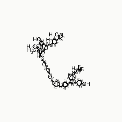 Cc1ncsc1-c1ccc(CNC(=O)[C@@H]2C[C@@H](O)CN2C(=O)[C@@H](NC(=O)COCCOCCOCCOCCN2CCN(Cc3ccc(-c4cn([C@H]5CC[C@H](O)CC5)c5nc(NCCC(F)(F)F)ncc45)cc3)CC2)C(C)(C)C)cc1